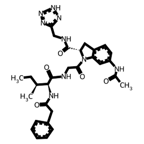 CC[C@H](C)[C@H](NC(=O)Cc1ccccc1)C(=O)NCC(=O)N1c2cc(NC(C)=O)ccc2C[C@H]1C(=O)NCc1nn[nH]n1